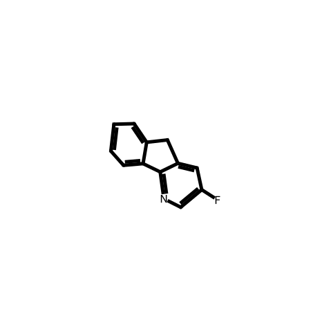 Fc1cnc2c(c1)Cc1ccccc1-2